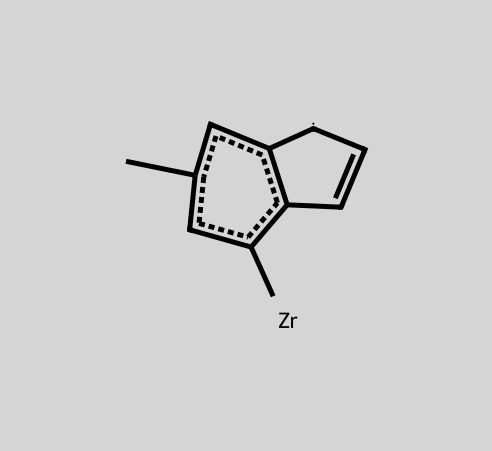 Cc1cc(C)c2c(c1)[CH]C=C2.[Zr]